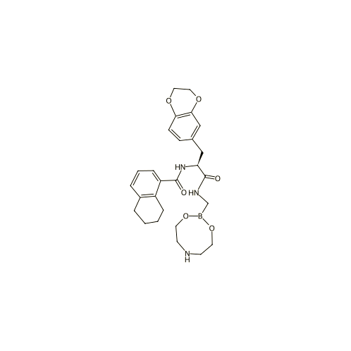 O=C(N[C@@H](Cc1ccc2c(c1)OCCO2)C(=O)NCB1OCCNCCO1)c1cccc2c1CCCC2